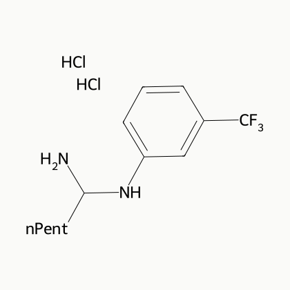 CCCCCC(N)Nc1cccc(C(F)(F)F)c1.Cl.Cl